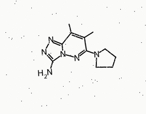 Cc1c(N2CCCC2)nn2c(N)nnc2c1C